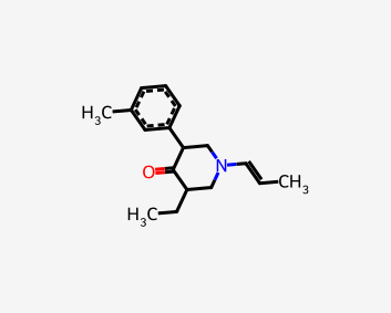 CC=CN1CC(CC)C(=O)C(c2cccc(C)c2)C1